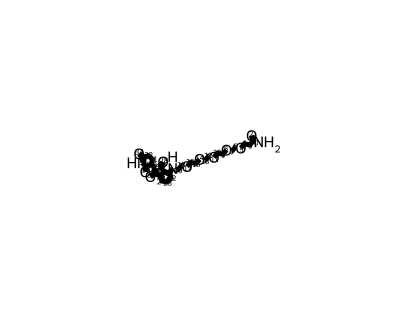 NC(=O)CCOCCOCCOCCOCCOCCNc1cccc2c1C(=O)N(C1CCC(=O)NC1=O)C2=O